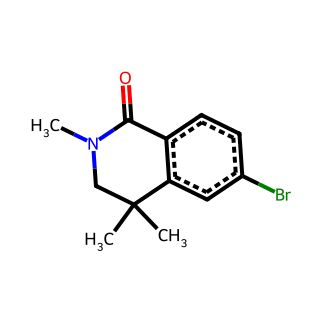 CN1CC(C)(C)c2cc(Br)ccc2C1=O